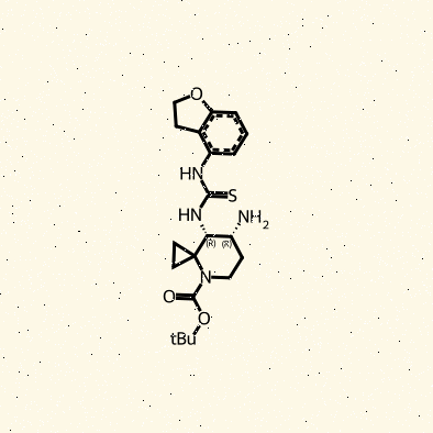 CC(C)(C)OC(=O)N1CC[C@@H](N)[C@@H](NC(=S)Nc2cccc3c2CCO3)C12CC2